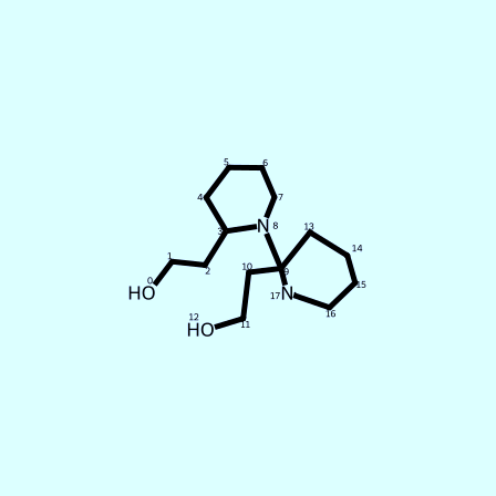 OCCC1CCCCN1C1(CCO)CCCC[N]1